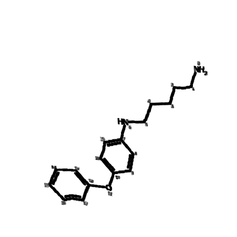 NCCCCCNc1ccc(Oc2ccccc2)cc1